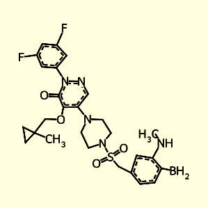 Bc1ccc(CS(=O)(=O)N2CCN(c3cnn(-c4cc(F)cc(F)c4)c(=O)c3OCC3(C)CC3)CC2)cc1NC